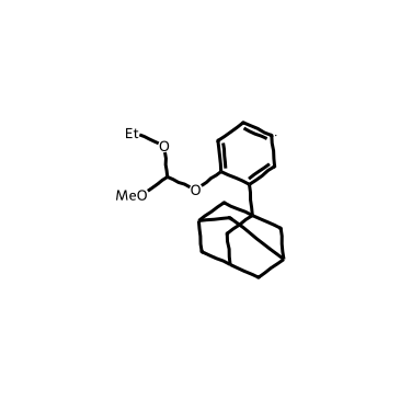 CCOC(OC)Oc1cc[c]cc1C12CC3CC(CC(C3)C1)C2